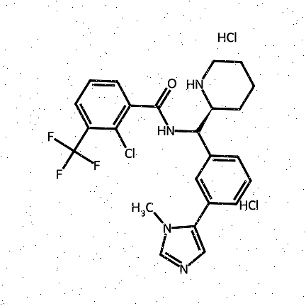 Cl.Cl.Cn1cncc1-c1cccc(C(NC(=O)c2cccc(C(F)(F)F)c2Cl)[C@@H]2CCCCN2)c1